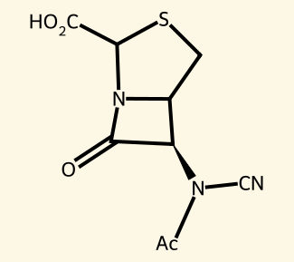 CC(=O)N(C#N)[C@H]1C(=O)N2C(C(=O)O)SCC12